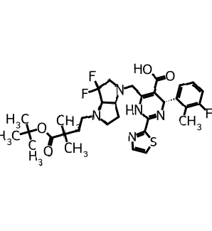 Cc1c(F)cccc1[C@@H]1N=C(c2nccs2)NC(CN2CC(F)(F)C3C2CCN3CCC(C)(C)C(=O)OC(C)(C)C)=C1C(=O)O